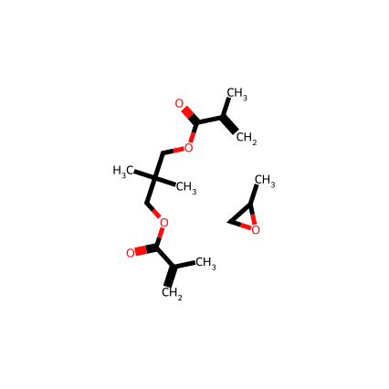 C=C(C)C(=O)OCC(C)(C)COC(=O)C(=C)C.CC1CO1